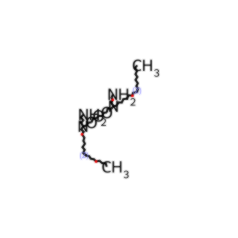 CCCCCCCC/C=C\CCCCCCCCN(CCCN)CCOCCOCCOCCN(CCCN)CCCCCCCC/C=C\CCCCCCCC